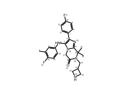 Cc1cc(Nc2c(-c3ccc(F)cc3)nc3n2CC(=O)N(CC2CNC2)C3(C)C)ccc1F